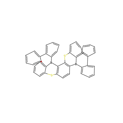 c1ccc(-c2ccccc2B2c3ccccc3Sc3c2ccc2c3B(c3ccccc3-c3ccccc3)c3ccccc3S2)cc1